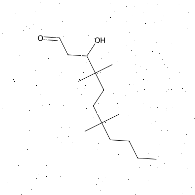 CCCCC(C)(C)CCC(C)(C)C(O)CC=O